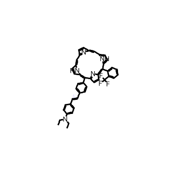 CCN(CC)c1ccc(/C=C/c2ccc(-c3c4nc(c(-c5ccccc5C(F)(F)F)c5ccc(cc6nc(cc7ccc3[nH]7)C=C6)[nH]5)C=C4)cc2)cc1